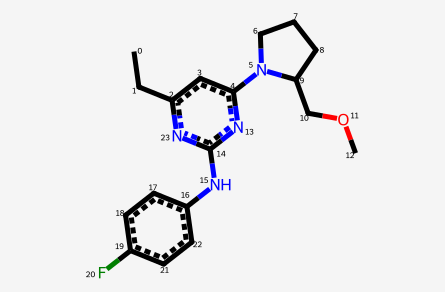 CCc1cc(N2CCCC2COC)nc(Nc2ccc(F)cc2)n1